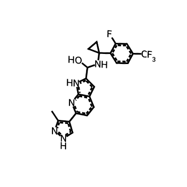 Cc1n[nH]cc1-c1ccc2cc(C(O)NC3(c4ccc(C(F)(F)F)cc4F)CC3)[nH]c2n1